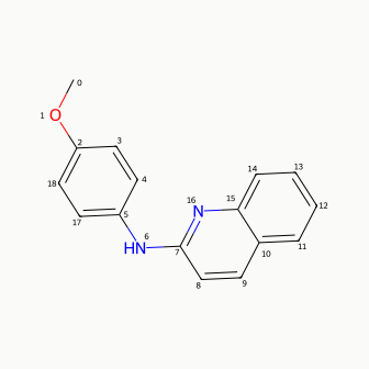 COc1ccc(Nc2ccc3ccccc3n2)cc1